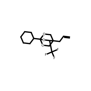 C=CCC12COC(C3CCCCC3)(OC1)OC2C(F)(F)F